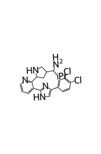 CC(C)C(N)C1CNC(c2ncccc2-c2nc(-c3ccc(Cl)c(Cl)c3)c[nH]2)C1